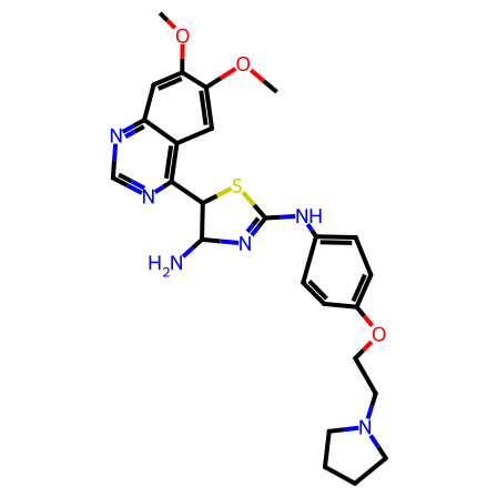 COc1cc2ncnc(C3SC(Nc4ccc(OCCN5CCCC5)cc4)=NC3N)c2cc1OC